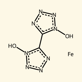 On1nnnc1-c1nnnn1O.[Fe]